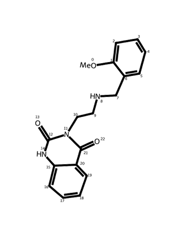 COc1ccccc1CNCCn1c(=O)[nH]c2ccccc2c1=O